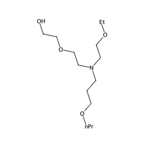 CCCOCCCN(CCOCC)CCOCCO